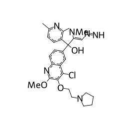 CN/C(=C\N=N)C(O)(c1ccc2nc(OC)c(OCCN3CCCC3)c(Cl)c2c1)c1ccc(C)nc1C